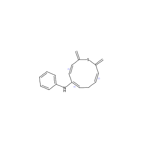 C=C1/C=C\C/C=C(Nc2ccccc2)\C=C/C(=C)S1